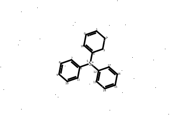 C1=CCCC([S+](c2ccccc2)c2ccccc2)=C1